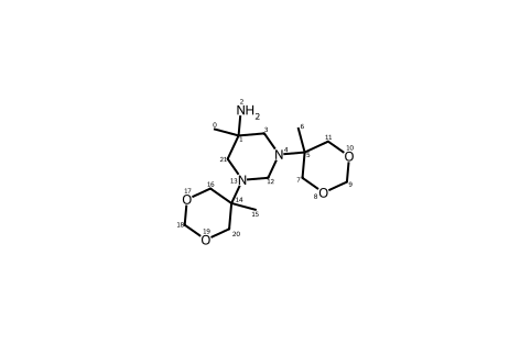 CC1(N)CN(C2(C)COCOC2)CN(C2(C)COCOC2)C1